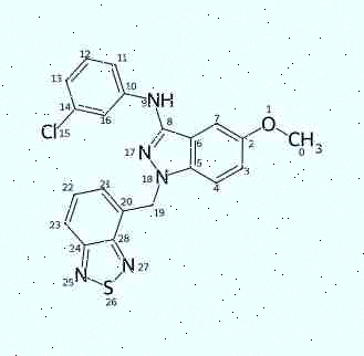 COc1ccc2c(c1)c(Nc1cccc(Cl)c1)nn2Cc1cccc2nsnc12